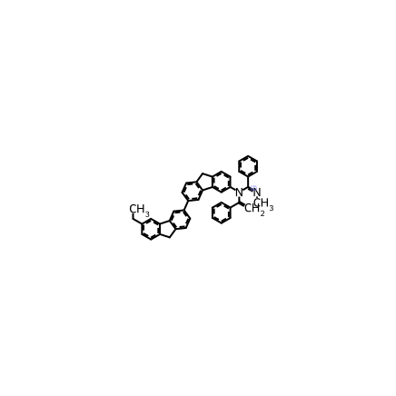 C=C(c1ccccc1)N(/C(=N\C)c1ccccc1)c1ccc2c(c1)-c1cc(-c3ccc4c(c3)-c3cc(CC)ccc3C4)ccc1C2